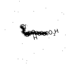 Cc1c(C)c2c(c(C)c1OCCCC(=O)NCCOCCOCCOCCOCCC(=O)O)CC[C@@](C)(CCC[C@H](C)CCC[C@H](C)CCCC(C)C)O2